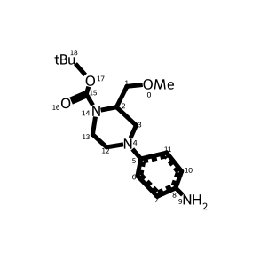 COCC1CN(c2ccc(N)cc2)CCN1C(=O)OC(C)(C)C